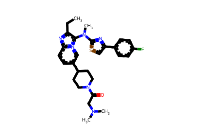 CCc1nc2ccc(C3CCN(C(=O)CN(C)C)CC3)cn2c1N(C)c1nc(-c2ccc(F)cc2)cs1